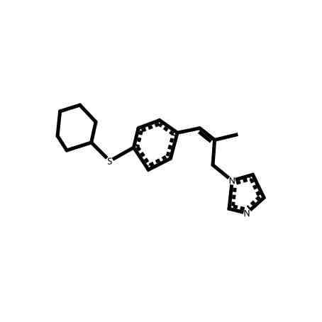 CC(=Cc1ccc(SC2CCCCC2)cc1)Cn1ccnc1